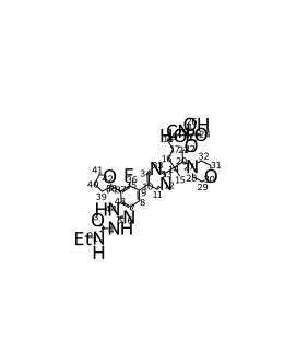 CCNC(=O)Nc1nc2cc(-c3cnc(C(C)(CCCC#N)C(COP(=O)(O)O)N4CCOCC4)nc3)c(F)c([C@H]3CCCO3)c2[nH]1